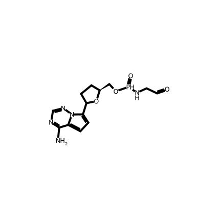 Nc1ncnn2c(C3CC[C@@H](CO[PH](=O)NCC=O)O3)ccc12